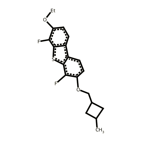 CCOc1ccc2c(sc3c(F)c(OCC4CC(C)C4)ccc32)c1F